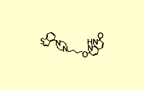 O=c1ccc2ccc(OCCCCN3CCN(c4cccc5sccc45)CC3)nc2[nH]1